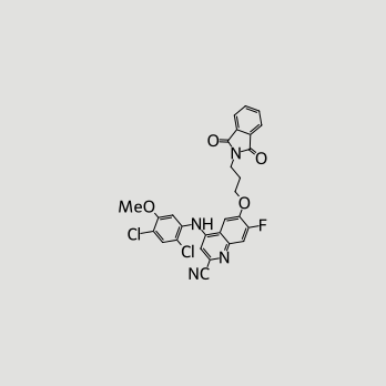 COc1cc(Nc2cc(C#N)nc3cc(F)c(OCCCN4C(=O)c5ccccc5C4=O)cc23)c(Cl)cc1Cl